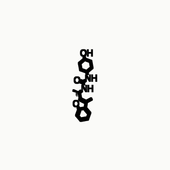 Cc1c([C@@H](C)NC(=O)NC2CCC(O)CC2)oc2ccccc12